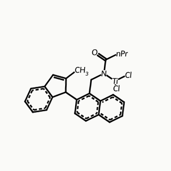 CCCC(=O)[N](Cc1c(C2C(C)=Cc3ccccc32)ccc2ccccc12)[Ti]([Cl])[Cl]